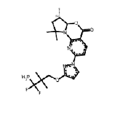 C[C@H]1CC(C)(C)N2c3nc(-n4ccc(OCC(C)(C)C(F)(F)P)n4)ccc3C(=O)OC12